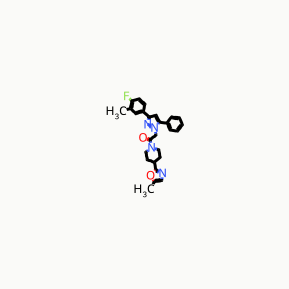 Cc1cnc(C2CCN(C(=O)Cn3nc(-c4ccc(F)c(C)c4)cc3-c3ccccc3)CC2)o1